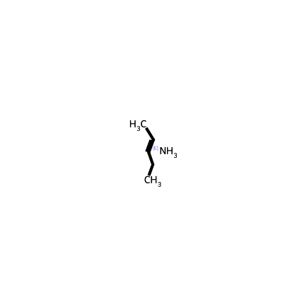 C/C=C/CC.N